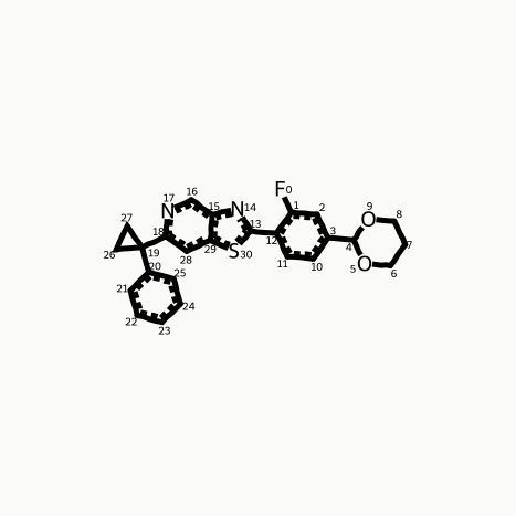 Fc1cc(C2OCCCO2)ccc1-c1nc2cnc(C3(c4ccccc4)CC3)cc2s1